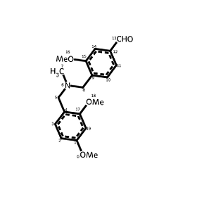 COc1ccc(CN(C)Cc2ccc(C=O)cc2OC)c(OC)c1